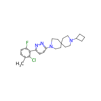 Cc1ccc(F)c(-c2ccc(N3CCC4(CC3)CCN(C3CCC3)CC4)nn2)c1Cl